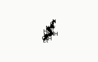 CCC(=O)Nc1cncc(-c2ccc3[nH]nc(-c4nc5c(-c6cc(F)cc(OCCN(C)C)c6)cncc5[nH]4)c3n2)c1